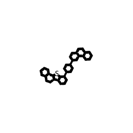 c1ccc2c(c1)ccc1ccc(-c3ccc(-c4cccc5c4sc4c6ccccc6ccc54)cc3)cc12